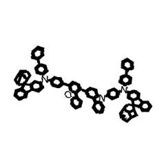 c1ccc(-c2ccc(N(c3ccc(-c4ccc(-c5ccc6c(c5)c5ccccc5n6-c5ccc(N(c6ccc(-c7ccccc7)cc6)c6ccc7c(c6)C6(c8ccccc8-7)C7CC8CC9CC6C9(C8)C7)cc5)c5c4oc4ccccc45)cc3)c3ccc4c(c3)C3(c5ccccc5-4)C4CC5CC(C4)CC3C5)cc2)cc1